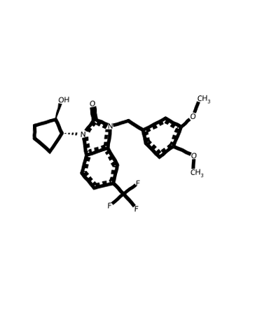 COc1ccc(Cn2c(=O)n([C@@H]3CCC[C@H]3O)c3ccc(C(F)(F)F)cc32)cc1OC